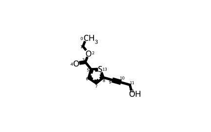 CCOC(=O)c1ccc(C#CCO)s1